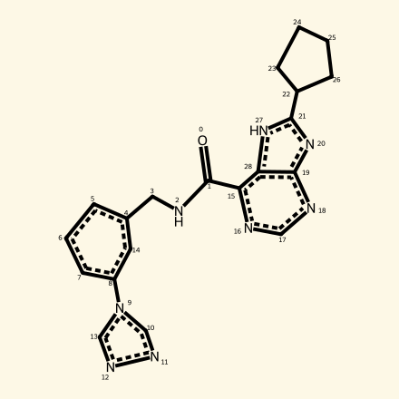 O=C(NCc1cccc(-n2cnnc2)c1)c1ncnc2nc(C3CCCC3)[nH]c12